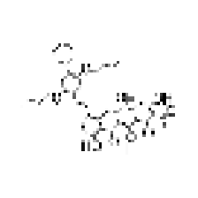 CCCCOc1cc(C2CCCCC2)c(OCCCC)cc1C=Cc1ccc(O)c2c1C(C)[C@@H]1C(=C(O)C3C(=O)C(C(C)=O)=C(O)C[C@@H]3[C@H]1O)C2=O